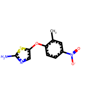 Cc1cc([N+](=O)[O-])ccc1Oc1cnc(N)s1